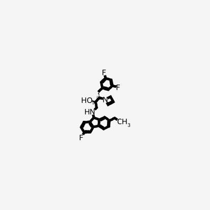 CCc1ccc2c(c1)C(NC[C@@H](O)[C@H](Cc1cc(F)cc(F)c1)N1C=CC1)c1ccc(F)cc1-2